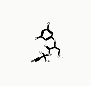 C#CC(C)(C)NC(=O)C(CC)Oc1cc(Cl)cc(Cl)c1